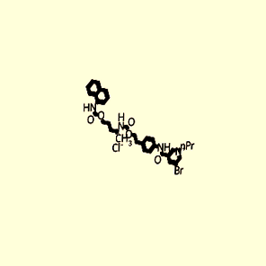 CCC[n+]1cc(Br)cc(C(=O)Nc2ccc(CCOC(=O)NC(C)CCCOC(=O)Nc3cccc4ccccc34)cc2)c1.[Cl-]